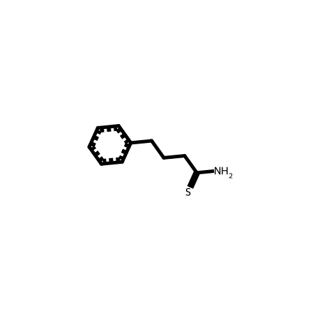 NC(=S)CCCc1ccccc1